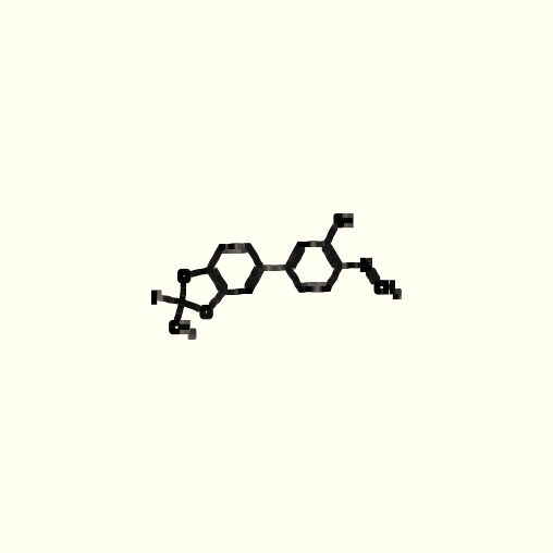 C=Nc1ccc(-c2ccc3c(c2)OC(C)(F)O3)cc1S